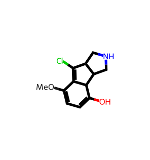 COC1=CC=C(O)C2C1=C(Cl)C1CNCC12